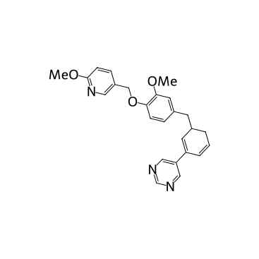 COc1ccc(COc2ccc(CC3C=C(c4cncnc4)C=CC3)cc2OC)cn1